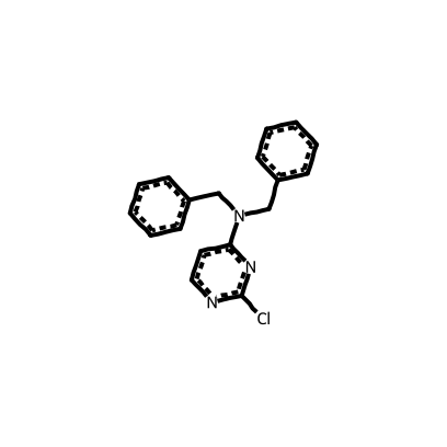 Clc1nccc(N(Cc2ccccc2)Cc2ccccc2)n1